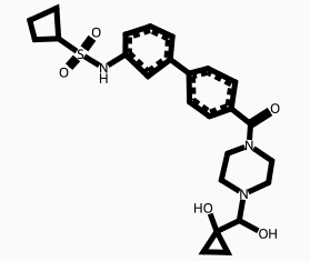 O=C(c1ccc(-c2cccc(NS(=O)(=O)C3CCC3)c2)cc1)N1CCN(C(O)C2(O)CC2)CC1